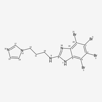 Brc1c(Br)c(Br)c2[nH]c(NCCCn3ccnc3)nc2c1Br